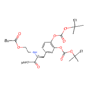 CCC(C)C(=O)OCCN[C@@H](Cc1ccc(OC(=O)OC(C)(C)CC)c(OC(=O)OC(C)(C)CC)c1)C(=O)OC